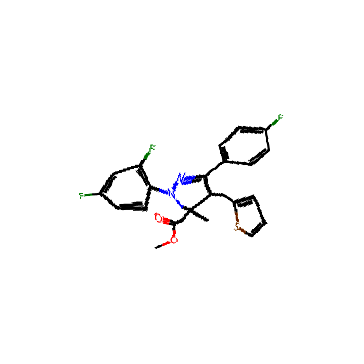 COC(=O)C1(C)C(c2cccs2)C(c2ccc(F)cc2)=NN1c1ccc(F)cc1F